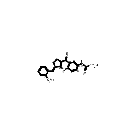 COc1ccccc1/C=C1\CCc2c1oc1ccc(NC(=O)C(=O)O)cc1c2=O